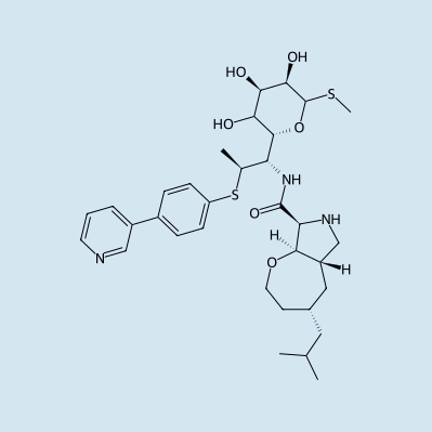 CSC1O[C@H]([C@H](NC(=O)[C@H]2NC[C@@H]3C[C@H](CC(C)C)CCO[C@H]32)[C@H](C)Sc2ccc(-c3cccnc3)cc2)C(O)[C@@H](O)[C@H]1O